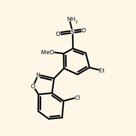 CCc1cc(-c2noc3cccc(Cl)c23)c(OC)c(S(N)(=O)=O)c1